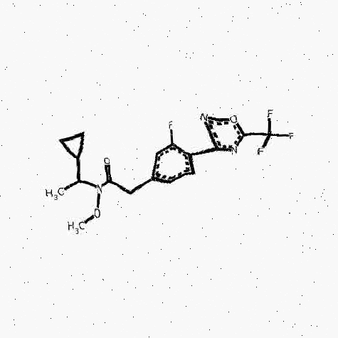 CON(C(=O)Cc1ccc(-c2noc(C(F)(F)F)n2)c(F)c1)C(C)C1CC1